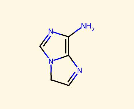 Nc1ncn2c1N=CC2